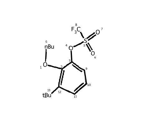 CCCCOc1c(OS(=O)(=O)C(F)(F)F)cccc1C(C)(C)C